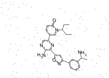 CCC(CC)n1cc(-c2cnc(N)c(-c3cc(-c4cccc(C(C)N)c4)no3)n2)ccc1=O